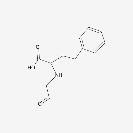 O=CCNC(CCc1ccccc1)C(=O)O